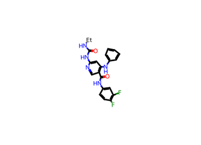 CCNC(=O)Nc1cc(Nc2ccccc2)c(C(=O)Nc2ccc(F)c(F)c2)cn1